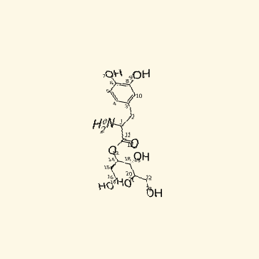 NC(Cc1ccc(O)c(O)c1)C(=O)O[C@H](CCO)[C@H](O)[C@H](O)CO